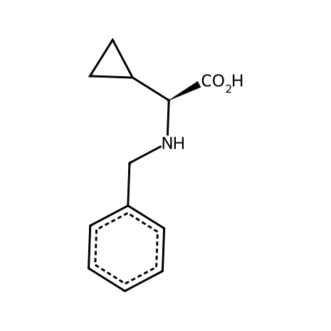 O=C(O)[C@@H](NCc1ccccc1)C1CC1